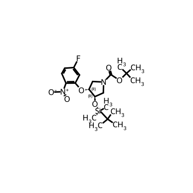 CC(C)(C)OC(=O)N1C[C@@H](Oc2cc(F)ccc2[N+](=O)[O-])[C@H](O[Si](C)(C)C(C)(C)C)C1